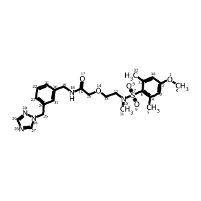 COc1cc(C)c(S(=O)(=O)N(C)CCOCC(=O)NCc2cccc(Cn3cncn3)c2)c(C)c1